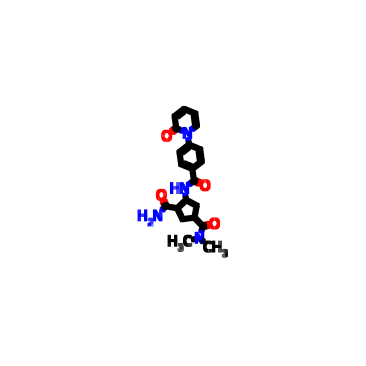 CN(C)C(=O)C1CC(NC(=O)c2ccc(-n3ccccc3=O)cc2)C(C(N)=O)C1